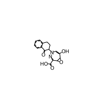 O=C(O)C1=NN(C2CCc3ccccc3C2=O)C=C(O)C2OC12